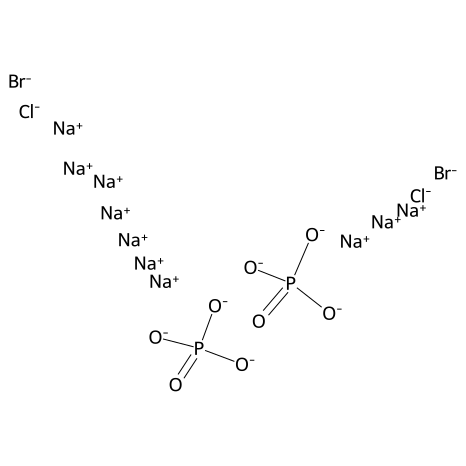 O=P([O-])([O-])[O-].O=P([O-])([O-])[O-].[Br-].[Br-].[Cl-].[Cl-].[Na+].[Na+].[Na+].[Na+].[Na+].[Na+].[Na+].[Na+].[Na+].[Na+]